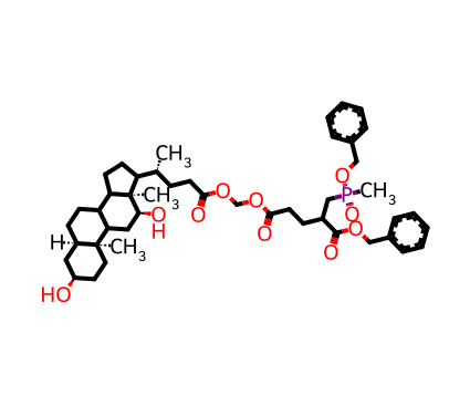 C[C@H](CCC(=O)OCOC(=O)CCC(CP(C)(=O)OCc1ccccc1)C(=O)OCc1ccccc1)C1CCC2C3CC[C@@H]4C[C@H](O)CC[C@]4(C)C3C[C@H](O)[C@@]21C